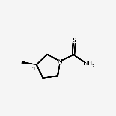 C[C@@H]1CCN(C(N)=S)C1